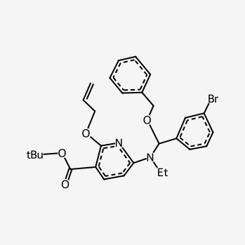 C=CCOc1nc(N(CC)C(OCc2ccccc2)c2cccc(Br)c2)ccc1C(=O)OC(C)(C)C